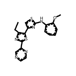 CCc1nc(-c2cnccn2)sc1-c1csc(Nc2ccccc2OC)n1